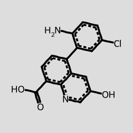 Nc1ccc(Cl)cc1-c1ccc(C(=O)O)c2ncc(O)cc12